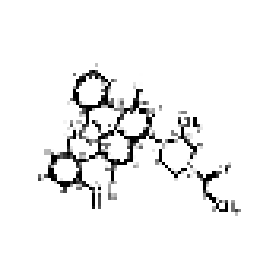 C=CC(=O)N1CCN(c2nc(=O)n(-c3ccccc3CCC)c3cc(-c4c(C)cccc4O)c(F)cc23)[C@@H](C)C1